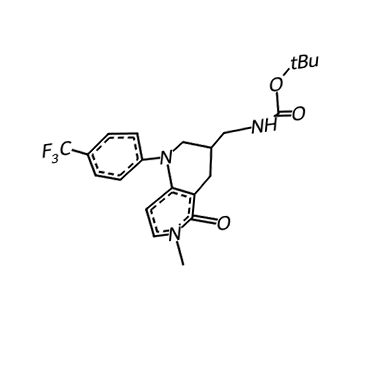 Cn1ccc2c(c1=O)CC(CNC(=O)OC(C)(C)C)CN2c1ccc(C(F)(F)F)cc1